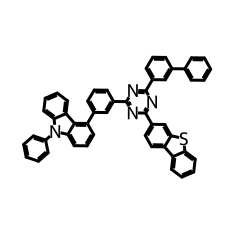 c1ccc(-c2cccc(-c3nc(-c4cccc(-c5cccc6c5c5ccccc5n6-c5ccccc5)c4)nc(-c4ccc5c(c4)sc4ccccc45)n3)c2)cc1